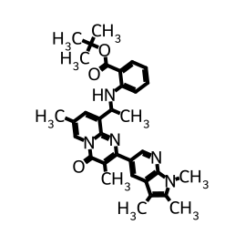 Cc1cc(C(C)Nc2ccccc2C(=O)OC(C)(C)C)c2nc(-c3cnc4c(c3)c(C)c(C)n4C)c(C)c(=O)n2c1